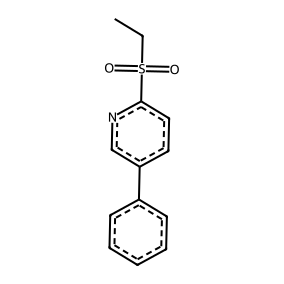 CCS(=O)(=O)c1ccc(-c2ccccc2)cn1